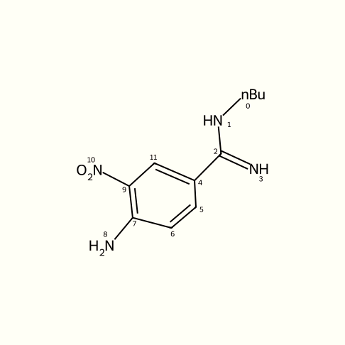 CCCCNC(=N)c1ccc(N)c([N+](=O)[O-])c1